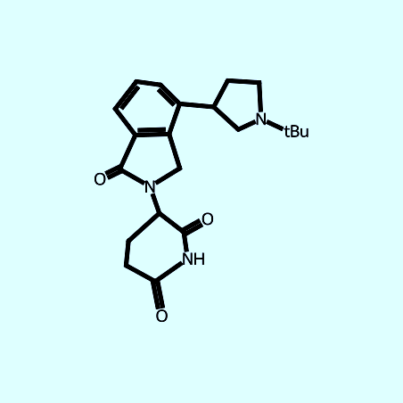 CC(C)(C)N1CCC(c2cccc3c2CN(C2CCC(=O)NC2=O)C3=O)C1